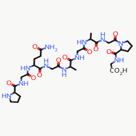 CC(NC(=O)CNC(=O)C(C)NC(=O)CNC(=O)C(CCC(N)=O)NC(=O)CNC(=O)C1CCCN1)C(=O)NCC(=O)N1CCCC1C(=O)NCC(=O)O